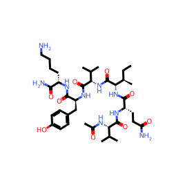 CC[C@@H](C)[C@H](NC(=O)[C@H](CCC(N)=O)NC(=O)[C@@H](NC(C)=O)C(C)C)C(=O)N[C@H](C(=O)N[C@@H](Cc1ccc(O)cc1)C(=O)N[C@@H](CCCCN)C(N)=O)C(C)C